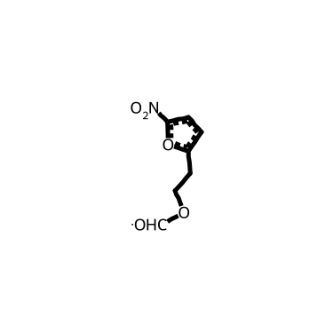 O=[C]OCCc1ccc([N+](=O)[O-])o1